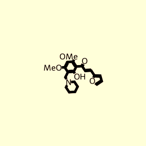 COc1cc(OC)c(C(=O)/C=C/c2ccco2)c(O)c1CN1CCCCC1